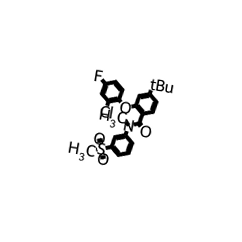 CN(C(=O)c1ccc(C(C)(C)C)cc1Oc1ccc(F)cc1Cl)c1cccc(S(C)(=O)=O)c1